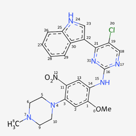 COc1cc(N2CCN(C)CC2)c([N+](=O)[O-])cc1Nc1ncc(Cl)c(-c2c[nH]c3ccccc23)n1